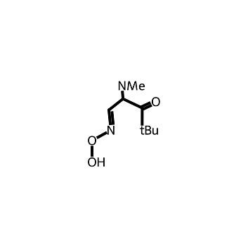 CNC(C=NOO)C(=O)C(C)(C)C